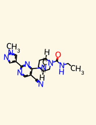 CCNC(=O)N1C[C@@H]2CC[C@H]1CN2c1nc(-c2cnn(C)c2)ncc1C#N